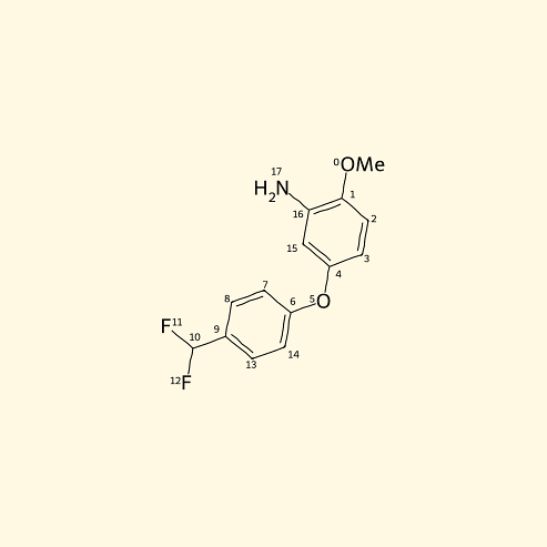 COc1ccc(Oc2ccc(C(F)F)cc2)cc1N